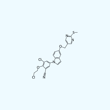 CSc1ncc(COc2ccc3c(ccn3-c3cc(Cl)c(OCCCl)c(C#N)c3)c2)cn1